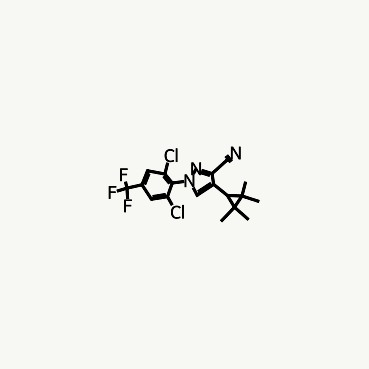 CC1(C)C(c2cn(-c3c(Cl)cc(C(F)(F)F)cc3Cl)nc2C#N)C1(C)C